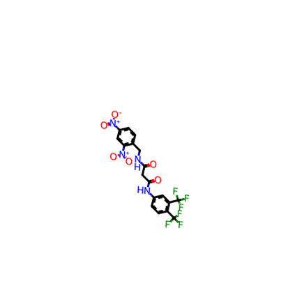 O=C(CC(=O)Nc1ccc(C(F)(F)F)c(C(F)(F)F)c1)NCc1ccc([N+](=O)[O-])cc1[N+](=O)[O-]